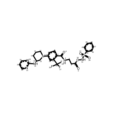 O=C(CCNC(=O)c1ccc(N2CCC[C@H](Nc3ncccn3)C2)cc1C(F)(F)F)ONS(=O)(=O)c1ccccc1